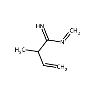 C=CC(C)C(=N)N=C